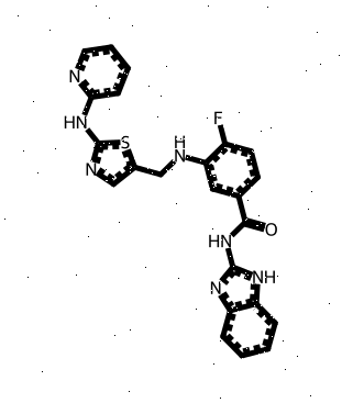 O=C(Nc1nc2ccccc2[nH]1)c1ccc(F)c(NCc2cnc(Nc3ccccn3)s2)c1